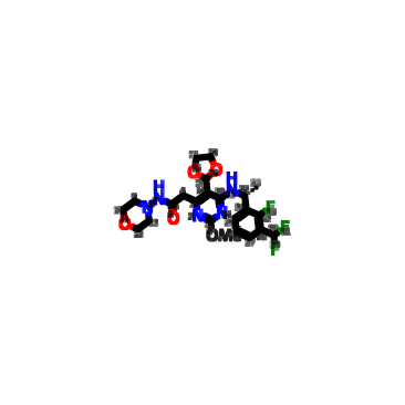 COc1nc(CC(=O)NN2CCOCC2)c(C2OCCO2)c(N[C@H](C)c2cccc(C(F)F)c2F)n1